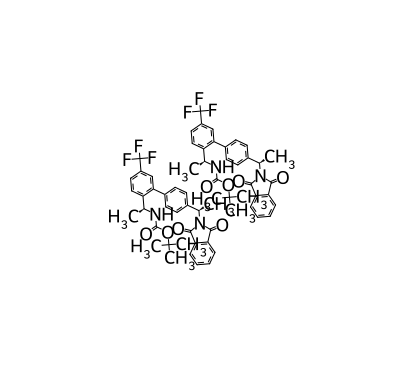 C[C@H](NC(=O)OC(C)(C)C)c1ccc(C(F)(F)F)cc1-c1ccc([C@@H](C)N2C(=O)c3ccccc3C2=O)cc1.C[C@H](NC(=O)OC(C)(C)C)c1ccc(C(F)(F)F)cc1-c1ccc([C@@H](C)N2C(=O)c3ccccc3C2=O)cc1